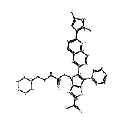 Cc1cc(-c2ccc3cc(-c4c(-c5ccccc5)c5sc(C(=O)O)cc5n4CC(=O)NCCN4CCOCC4)ccc3n2)c(C)o1